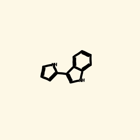 [c]1[nH]c2ccccc2c1-c1ccc[nH]1